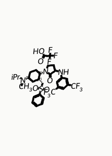 CC(C)N(C)[C@@H]1CC[C@H](N2CCC(Nc3cc(C(F)(F)F)cc(C(F)(F)F)c3)C2=O)[C@H](CS(=O)(=O)c2ccccc2)C1.O=C(O)C(F)(F)F